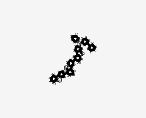 c1ccc(-c2cccc(N(c3ccccc3)c3ccc4c(c3)sc3ccc(-c5ccc6oc7c(-c8ccc9c(c8)oc8ccccc89)cccc7c6c5)cc34)c2)cc1